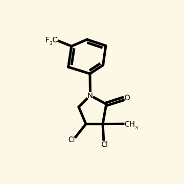 CC1(Cl)C(=O)N(c2cccc(C(F)(F)F)c2)CC1Cl